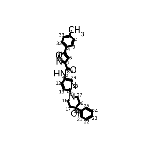 Cc1ccc(-c2cc(C(=O)Nc3ccc(N4CCC(O)(c5ccccc5)CC4)nc3)no2)cc1